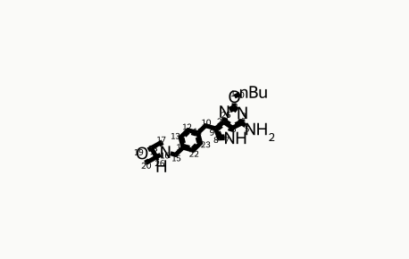 CCCCOc1nc(N)c2[nH]cc(Cc3ccc(CN4CC5OC[C@H]54)cc3)c2n1